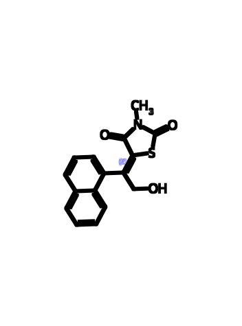 CN1C(=O)S/C(=C(\CO)c2cccc3ccccc23)C1=O